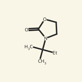 CCC(C)(C)N1CCOC1=O